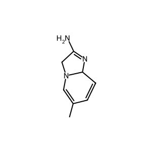 CC1=CN2CC(N)=NC2C=C1